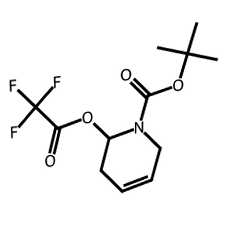 CC(C)(C)OC(=O)N1CC=CCC1OC(=O)C(F)(F)F